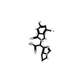 O=C(O)C(c1ncn2c1CCC2)N1Cc2c(F)cc(I)cc2C1=O